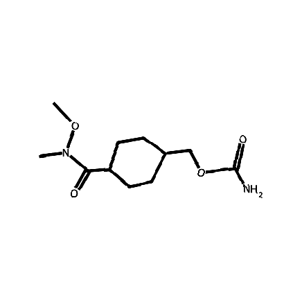 CON(C)C(=O)C1CCC(COC(N)=O)CC1